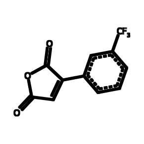 O=C1C=C(c2cccc(C(F)(F)F)c2)C(=O)O1